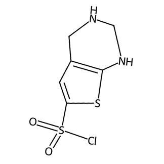 O=S(=O)(Cl)c1cc2c(s1)NCNC2